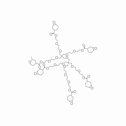 CC1CC(C(=O)OCCOCCOCC(COCCOCCOC(=O)C2CCC3OC3C2)(COCCOCCOC(=O)C2CCC3OC3C2)COCC(COCCOCCOCCOC(=O)C2CCC3OC3C2)(COCCOCCOC(=O)C2CCC3OC3C2)COCCOCCOC(=O)C2CCC3OC3C2)CCO1